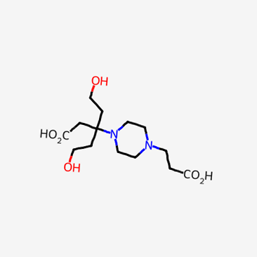 O=C(O)CCN1CCN(C(CCO)(CCO)CC(=O)O)CC1